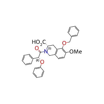 COc1ccc2c(c1OCc1ccccc1)C[C@@H](C(=O)O)N(C(=O)[C@H](Oc1ccccc1)c1ccccc1)C2